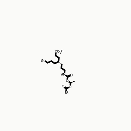 CCC(=O)O[C@H](C)OC(=O)NCCC[C@H](CCCC(C)C)CCC(=O)O